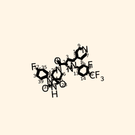 O=C(c1cc(-c2ccncc2)n(-c2ccc(C(F)(F)F)c(F)c2)n1)N1CCC2(CC1)C(=O)NC(=O)N2c1ccc(F)cc1